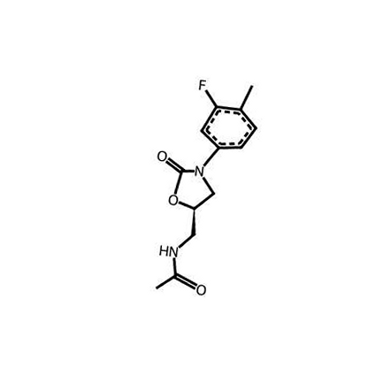 CC(=O)NC[C@@H]1CN(c2ccc(C)c(F)c2)C(=O)O1